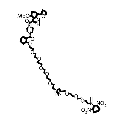 COc1ccc(-c2ccco2)c2[nH]cc(C(=O)N3CCN(C(=O)c4ccccc4OCCOCCOCCOCCOCCOCCn4cc(COCCOCCOCCNc5c([N+](=O)[O-])cccc5[N+](=O)[O-])nn4)CC3)c12